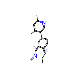 C=N/C=c1/cc(-c2cnc(C)cc2C)cc/c1=C/CC